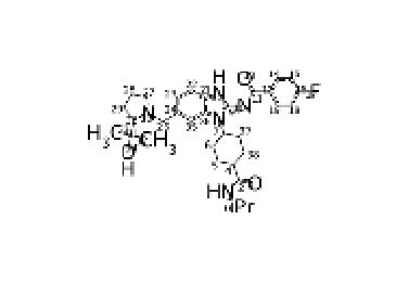 CC(C)NC(=O)C1CCC(n2c(=NC(=O)c3ccc(F)cc3)[nH]c3ccc(CN4CCCC4C(C)(C)O)cc32)CC1